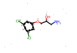 NCC(O)COc1cc(Cl)cc(Cl)c1